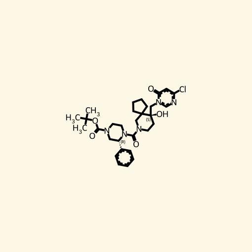 CC(C)(C)OC(=O)N1CCN(C(=O)N2CC[C@@](O)(Cn3cnc(Cl)cc3=O)C3(CCCC3)C2)[C@H](c2ccccc2)C1